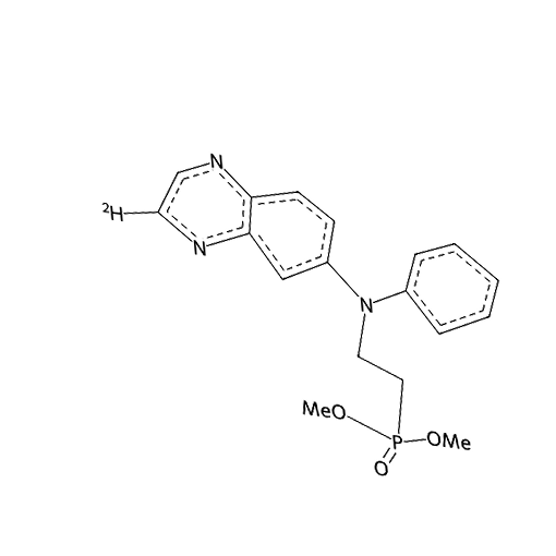 [2H]c1cnc2ccc(N(CCP(=O)(OC)OC)c3ccccc3)cc2n1